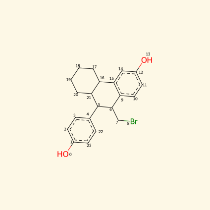 Oc1ccc(C2C(CBr)c3ccc(O)cc3C3CCCCC32)cc1